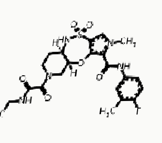 Cc1cc(NC(=O)c2c3c(cn2C)S(=O)(=O)N[C@@H]2CCN(C(=O)C(=O)NCC(F)(F)F)C[C@H]2O3)ccc1F